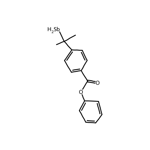 C[C](C)([SbH2])c1ccc(C(=O)Oc2ccccc2)cc1